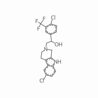 OC(CN1CCc2c([nH]c3ccc(Cl)cc23)C1)c1ccc(Cl)c(C(F)(F)F)c1